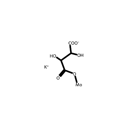 O=C([O-])C(O)C(O)C(=O)[O][Mo].[K+]